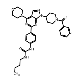 CCCCNC(=O)Nc1ccc(-c2nc(N3CCOCC3)c3cnn(C4CCN(C(=O)c5cccnc5)CC4)c3n2)cc1